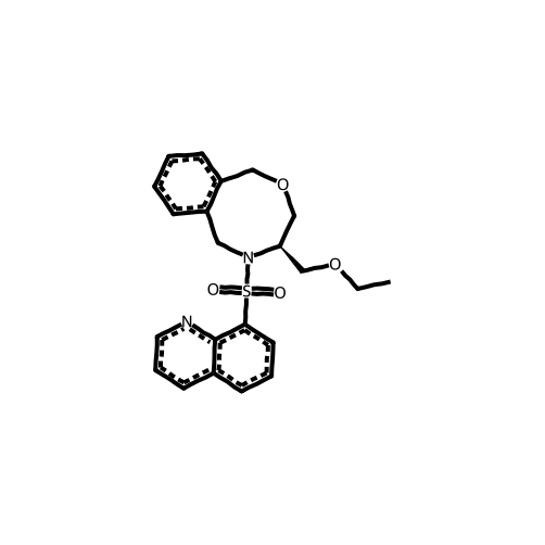 CCOC[C@@H]1COCc2ccccc2CN1S(=O)(=O)c1cccc2cccnc12